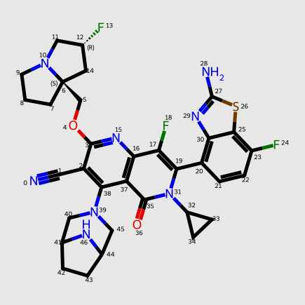 N#Cc1c(OC[C@@]23CCCN2C[C@H](F)C3)nc2c(F)c(-c3ccc(F)c4sc(N)nc34)n(C3CC3)c(=O)c2c1N1CC2CCC(C1)N2